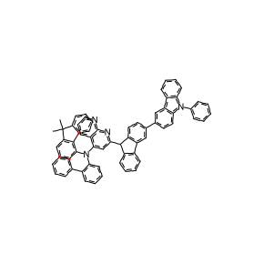 CC1(C)c2ccccc2-c2c(N(c3ccccc3-c3ccccc3)c3cc(C4c5ccccc5-c5cc(-c6ccc7c(c6)c6ccccc6n7-c6ccccc6)ccc54)nc4ncccc34)cccc21